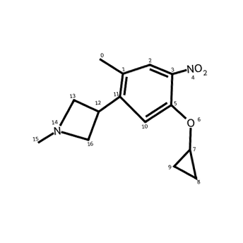 Cc1cc([N+](=O)[O-])c(OC2CC2)cc1C1CN(C)C1